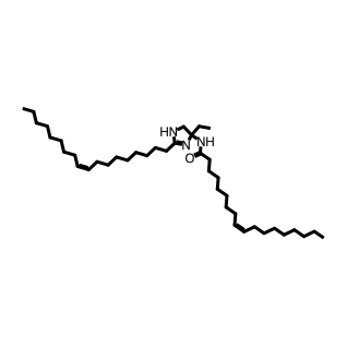 CCCCCCCC/C=C\CCCCCCCCC1=NC(CC)(NC(=O)CCCCCCC/C=C\CCCCCCCC)CN1